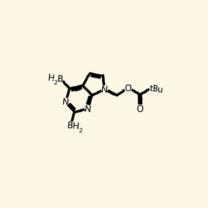 Bc1nc(B)c2ccn(COC(=O)C(C)(C)C)c2n1